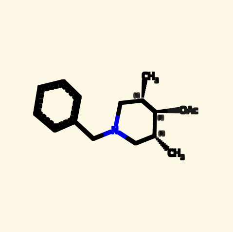 CC(=O)O[C@H]1[C@H](C)CN(Cc2ccccc2)C[C@@H]1C